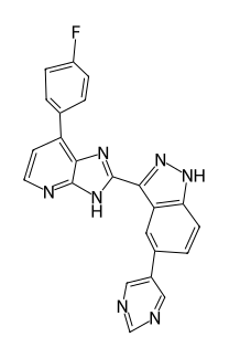 Fc1ccc(-c2ccnc3[nH]c(-c4n[nH]c5ccc(-c6cncnc6)cc45)nc23)cc1